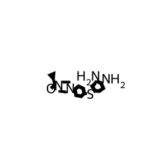 Nc1ccc(Sc2ccc(N3CCN(C(=O)C4CC4)CC3)cc2)cc1N